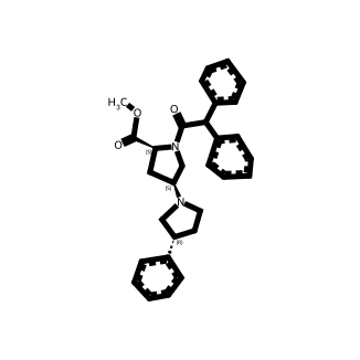 COC(=O)[C@@H]1C[C@H](N2CC[C@H](c3ccccc3)C2)CN1C(=O)C(c1ccccc1)c1ccccc1